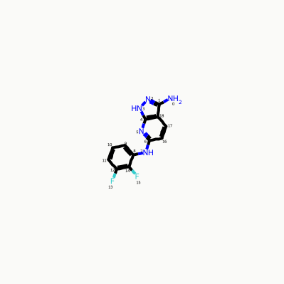 Nc1n[nH]c2nc(Nc3cccc(F)c3F)ccc12